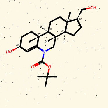 CC(C)(C)OC(=O)N1C[C@H]2[C@@H]3CC[C@H](CO)[C@@]3(C)CC[C@@H]2[C@@]2(C)CC[C@H](O)C=C12